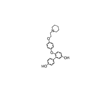 Oc1ccc(-c2cc(O)ccc2Oc2ccc(OCCN3CCCCC3)cc2)cc1